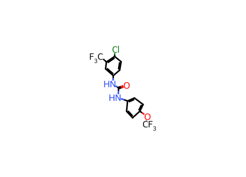 O=C(Nc1ccc(OC(F)(F)F)cc1)Nc1ccc(Cl)c(C(F)(F)F)c1